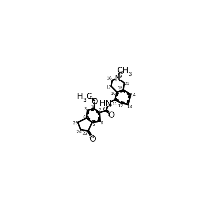 COc1cc2c(cc1C(=O)Nc1cccc3c1CCN(C)C3)C(=O)CC2